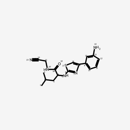 CC(C)CC(Nc1nc(-c2cccc(N)c2)cs1)C(=O)NCC#N